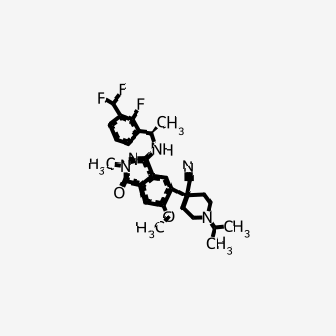 COc1cc2c(=O)n(C)nc(N[C@H](C)c3cccc(C(F)F)c3F)c2cc1C1(C#N)CCN(C(C)C)CC1